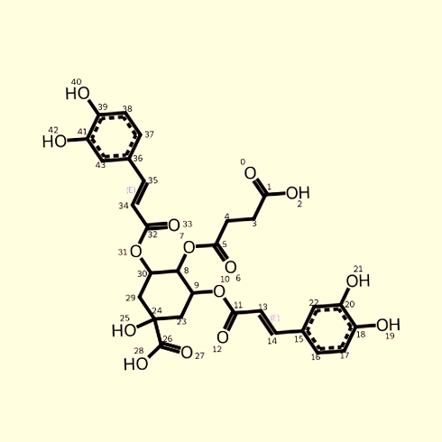 O=C(O)CCC(=O)OC1C(OC(=O)/C=C/c2ccc(O)c(O)c2)CC(O)(C(=O)O)CC1OC(=O)/C=C/c1ccc(O)c(O)c1